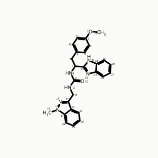 COc1ccc(CC(NC(=O)NCc2nn(C)c3ccccc23)c2nc3ccccc3[nH]2)cc1